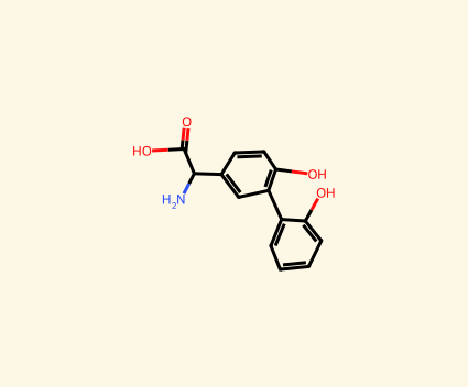 NC(C(=O)O)c1ccc(O)c(-c2ccccc2O)c1